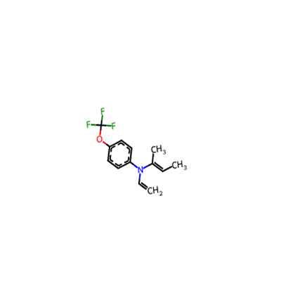 C=CN(/C(C)=C/C)c1ccc(OC(F)(F)F)cc1